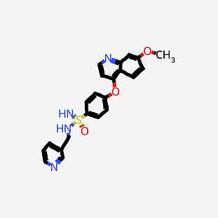 COc1ccc2c(Oc3ccc(S(=N)(=O)NCc4cccnc4)cc3)ccnc2c1